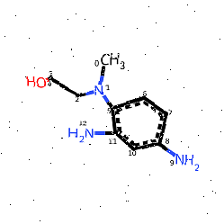 CN(CCO)c1ccc(N)cc1N